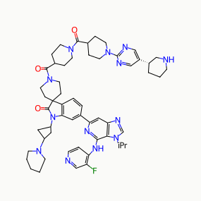 CC(C)n1cnc2cc(-c3ccc4c(c3)N(C3CC(N5CCCCC5)C3)C(=O)C43CCN(C(=O)C4CCN(C(=O)C5CCN(c6ncc([C@H]7CCCNC7)cn6)CC5)CC4)CC3)nc(Nc3ccncc3F)c21